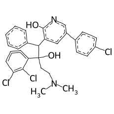 CN(C)CCC(O)(C1=C=C=CC(Cl)=C1Cl)C(c1ccccc1)c1cc(-c2ccc(Cl)cc2)cnc1O